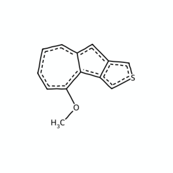 COc1ccccc2cc3cscc3c1-2